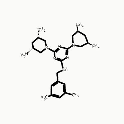 N[C@@H]1C[C@H](N)CN(c2nc(NCc3cc(C(F)(F)F)cc(C(F)(F)F)c3)nc(N3C[C@H](N)C[C@H](N)C3)n2)C1